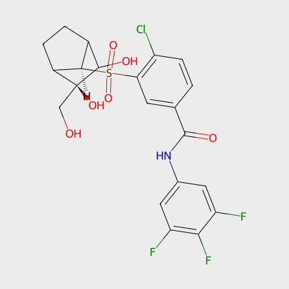 O=C(Nc1cc(F)c(F)c(F)c1)c1ccc(Cl)c(S(=O)(=O)[C@@H]2C3CCC2[C@@](O)(CO)C3O)c1